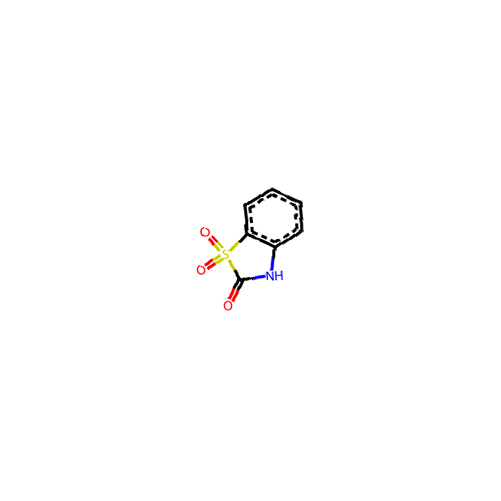 O=C1Nc2ccccc2S1(=O)=O